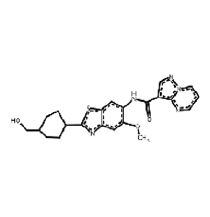 COc1cc2nc(C3CCC(CO)CC3)sc2cc1NC(=O)c1cnn2cccnc12